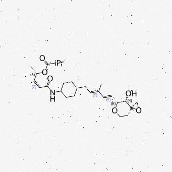 CC(/C=C/[C@H]1OCC[C@@]2(CO2)[C@@H]1O)=C\CC1CCC(NC(=O)/C=C\[C@H](C)OC(=O)C(C)C)CC1